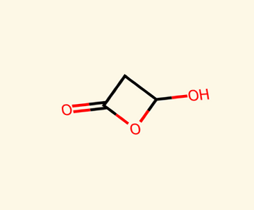 O=C1CC(O)O1